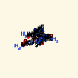 CCn1nc(C)cc1C(=O)Nc1nc2cc(C(N)=O)cnc2n1CC=CCn1c2nc(-c3cc(C)nn3CC)ncc2c2cc(C(N)=O)cc(OCCCN3CCN(C(=O)CON)CC3)c21